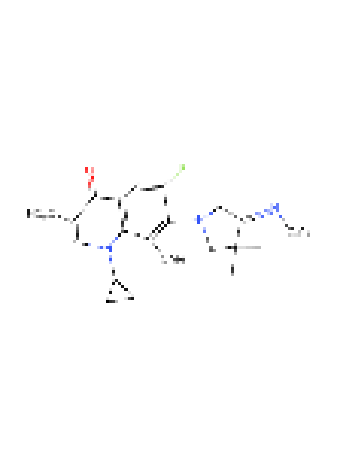 CON=C1CN(c2c(F)cc3c(=O)c(C(=O)O)cn(C4CC4)c3c2OC)CC1(C)C